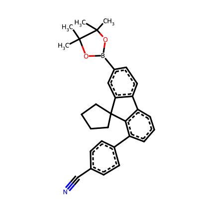 CC1(C)OB(c2ccc3c(c2)C2(CCCC2)c2c(-c4ccc(C#N)cc4)cccc2-3)OC1(C)C